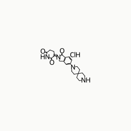 Cl.O=C1CC[C@@H](N2Cc3cc(N4CCC5(CCNCC5)CC4)ccc3C2=O)C(=O)N1